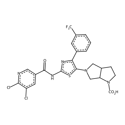 O=C(Nc1nc(-c2cccc(C(F)(F)F)c2)c(N2CC3CCN(C(=O)O)C3C2)s1)c1cnc(Cl)c(Cl)c1